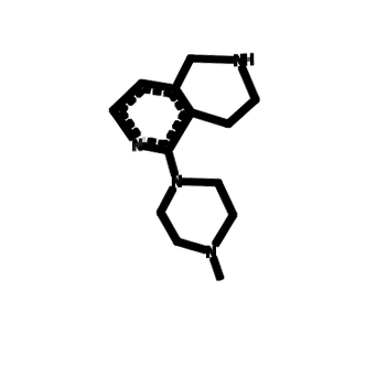 CN1CCN(c2nccc3c2CCNC3)CC1